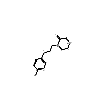 Cc1ccc(OCCN2CCNCC2=O)cn1